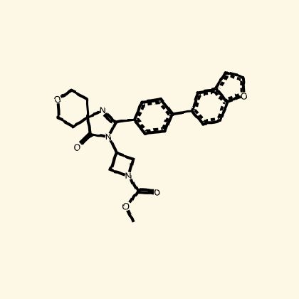 COC(=O)N1CC(N2C(=O)C3(CCOCC3)N=C2c2ccc(-c3ccc4occc4c3)cc2)C1